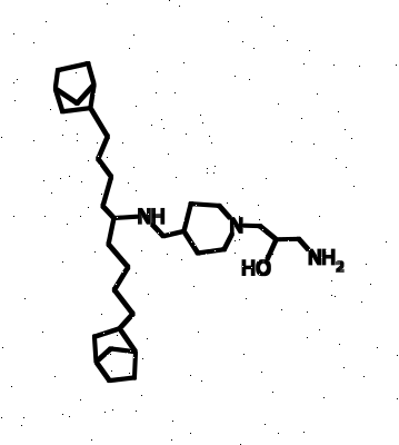 NCC(O)CN1CCC(CNC(CCCCC2CC3CCC2C3)CCCCC2CC3CCC2C3)CC1